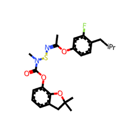 CC(=NSN(C)C(=O)Oc1cccc2c1OC(C)(C)C2)Oc1ccc(CC(C)C)c(F)c1